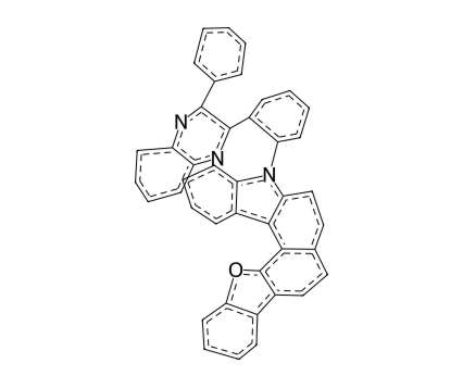 c1ccc(-c2nc3ccccc3nc2-c2ccccc2-n2c3ccccc3c3c4c(ccc5c6ccccc6oc54)ccc32)cc1